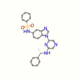 C[C@H](Nc1cncc(-n2cnc3cc(NS(=O)(=O)c4ccccc4)ccc32)n1)c1ccccc1